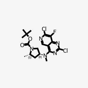 C[C@H]1C[C@@H](N(C)c2nc(Cl)nc3c(F)c(Cl)ncc23)CN1C(=O)OC(C)(C)C